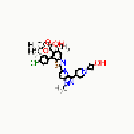 Cc1cc2nc(-c3ccc4c(n3)c(C3CCN([C@H]5C[C@@H](O)C5)CC3)nn4C)sc2c(-c2ccc(Cl)cc2)c1[C@H](OC(C)(C)C)C(=O)O